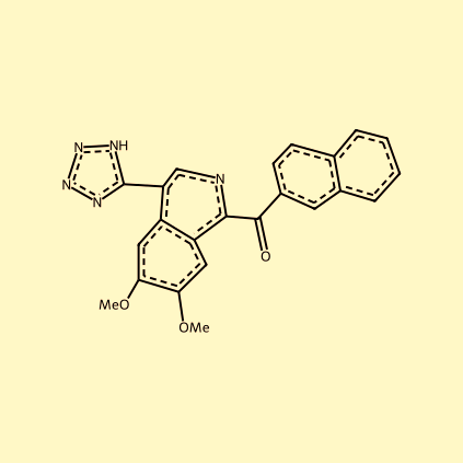 COc1cc2c(-c3nnn[nH]3)cnc(C(=O)c3ccc4ccccc4c3)c2cc1OC